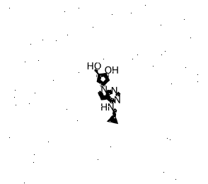 OC[C@@H]1C[C@@H](n2ccc3c(NCC4CC4)ncnc32)C[C@@H]1O